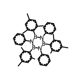 Cc1cc(C)c(B2N(c3ccccc3)B(c3c(C)cc(C)cc3C)N(c3ccccc3)B(c3c(C)cc(C)cc3C)N2c2ccccc2)c(C)c1